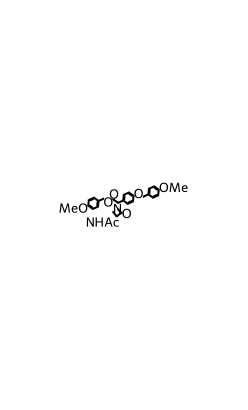 COc1ccc(COC(=O)C(c2ccc(OCc3ccc(OC)cc3)cc2)N2CC(NC(C)=O)C2=O)cc1